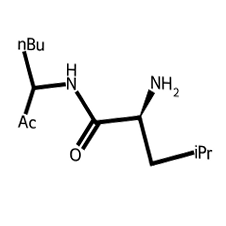 CCCCC(NC(=O)[C@@H](N)CC(C)C)C(C)=O